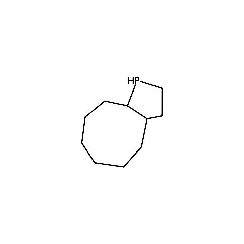 C1CCCC2PCCC2CC1